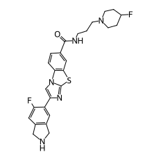 O=C(NCCCN1CCC(F)CC1)c1ccc2c(c1)sc1nc(-c3cc4c(cc3F)CNC4)cn12